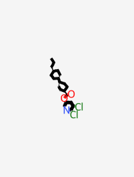 CCC[C@H]1CC[C@H]([C@H]2CC[C@H](C(=O)Oc3cnc(Cl)c(Cl)c3)CC2)CC1